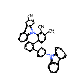 N#Cc1ccc2c(c1)c1ccccc1n2-c1c(-c2ccccc2-c2ccc(-n3c4ccccc4c4ccccc43)cc2)ccc(C#N)c1C#N